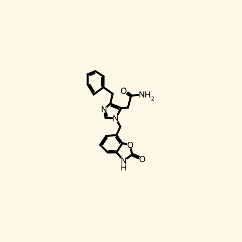 NC(=O)Cc1c(Cc2ccccc2)ncn1Cc1cccc2[nH]c(=O)oc12